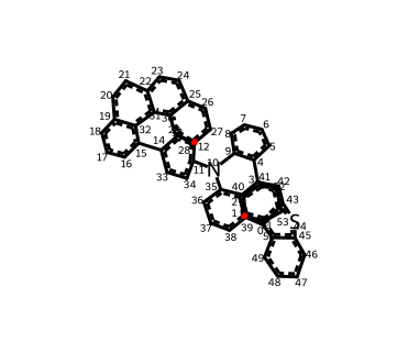 c1ccc(-c2ccccc2N(c2ccc(-c3cccc4ccc5ccc6ccccc6c5c34)cc2)c2cccc3c2ccc2sc4ccccc4c23)cc1